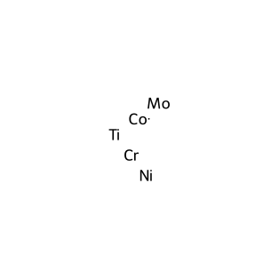 [Co].[Cr].[Mo].[Ni].[Ti]